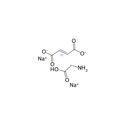 NCC(=O)O.O=C([O-])/C=C/C(=O)[O-].[Na+].[Na+]